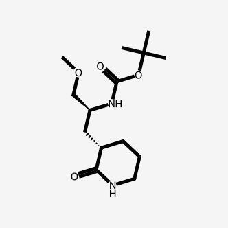 COC[C@H](C[C@@H]1CCCNC1=O)NC(=O)OC(C)(C)C